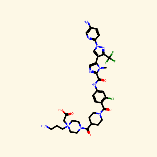 Cn1c(-c2cn(-c3ccc(N)cn3)nc2C(F)(F)F)cnc1C(=O)Nc1ccc(C(=O)N2CCC(C(=O)N3CC[N+](CCCN)(CC(=O)O)CC3)CC2)c(Cl)c1